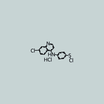 Cl.ClSc1ccc(Nc2ccnc3cc(Cl)ccc23)cc1